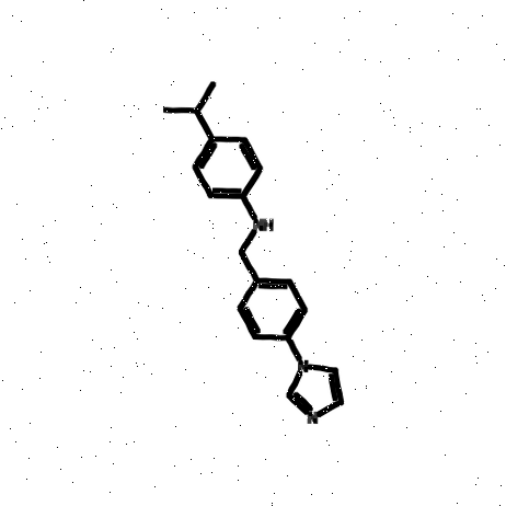 CC(C)c1ccc(NCc2ccc(-n3ccnc3)cc2)cc1